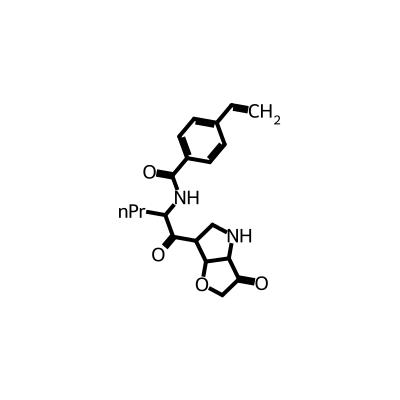 C=Cc1ccc(C(=O)NC(CCC)C(=O)C2CNC3C(=O)COC23)cc1